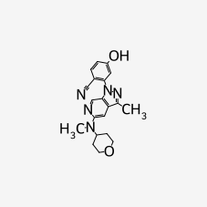 Cc1nn(-c2cc(O)ccc2C#N)c2cnc(N(C)C3CCOCC3)cc12